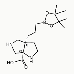 CC1(C)OB(CCC[C@]23CCN[C@@]2(C(=O)O)CNC3)OC1(C)C